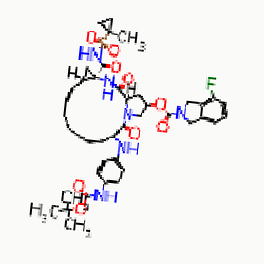 CC(C)(C)OC(=O)Nc1ccc(N[C@H]2CCCCC/C=C\[C@@H]3C[C@@]3(C(=O)NS(=O)(=O)C3(C)CC3)NC(=O)[C@@H]3C[C@@H](OC(=O)N4Cc5cccc(F)c5C4)CN3C2=O)cc1